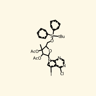 CC(=O)OC1C(n2cc(I)c3c(Cl)ncnc32)OC(CO[Si](c2ccccc2)(c2ccccc2)C(C)(C)C)C1(C)OC(C)=O